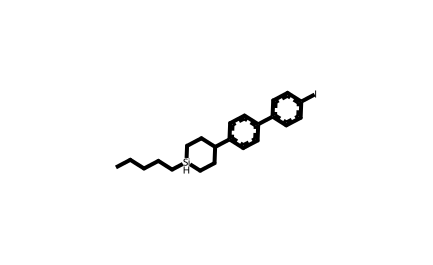 CCCCC[SiH]1CCC(c2ccc(-c3ccc(I)cc3)cc2)CC1